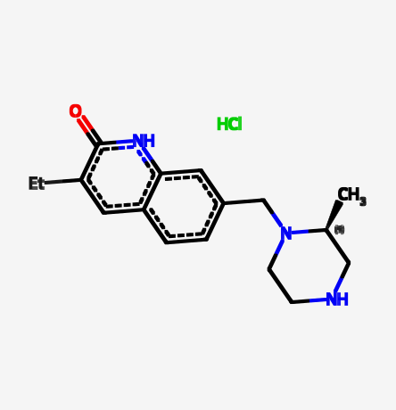 CCc1cc2ccc(CN3CCNC[C@@H]3C)cc2[nH]c1=O.Cl